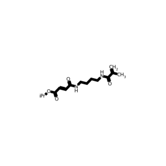 C=C(C)C(=O)NCCCCNC(=O)/C=C/C(=O)OC(C)C